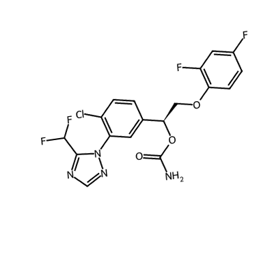 NC(=O)O[C@H](COc1ccc(F)cc1F)c1ccc(Cl)c(-n2ncnc2C(F)F)c1